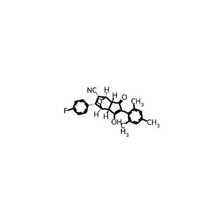 Cc1cc(C)c(C2=C(O)[C@@H]3[C@@H]4O[C@@H]([C@@H](C#N)[C@H]4c4ccc(F)cc4)[C@@H]3C2=O)c(C)c1